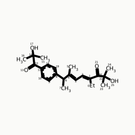 CC/C(=C\C=C(/C)C(C)c1ccc(C(=O)C(C)(C)O)cc1)C(=O)C(C)(C)O